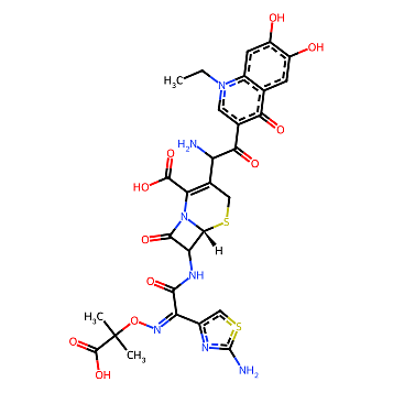 CCn1cc(C(=O)C(N)C2=C(C(=O)O)N3C(=O)C(NC(=O)/C(=N\OC(C)(C)C(=O)O)c4csc(N)n4)[C@H]3SC2)c(=O)c2cc(O)c(O)cc21